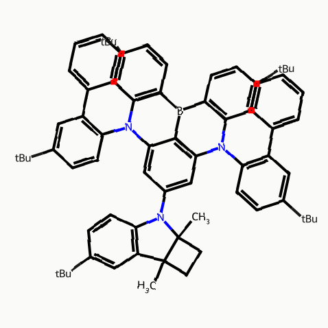 CC(C)(C)c1ccc(N2c3cc(C(C)(C)C)ccc3B3c4ccc(C(C)(C)C)cc4N(c4ccc(C(C)(C)C)cc4-c4ccccc4)c4cc(N5c6ccc(C(C)(C)C)cc6C6(C)CCC56C)cc2c43)c(-c2ccccc2)c1